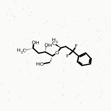 C[C@H](O)C[C@H](O)[C@@H](CO)O[C@@H](C)CC(F)(F)c1ccccc1